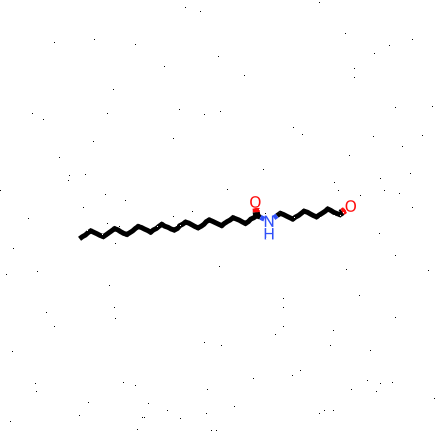 CCCCCCCCCCCCCCCC(=O)NCCCCCC=O